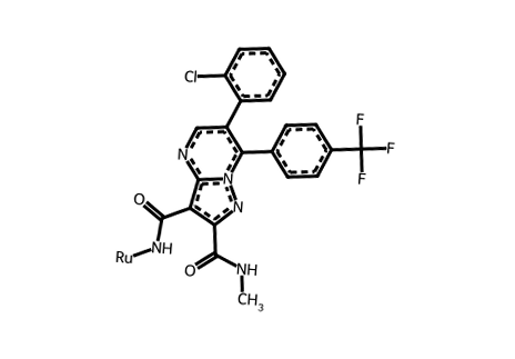 CNC(=O)c1nn2c(-c3ccc(C(F)(F)F)cc3)c(-c3ccccc3Cl)cnc2c1C(=O)[NH][Ru]